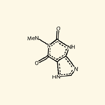 CNn1c(=O)[nH]c2nc[nH]c2c1=O